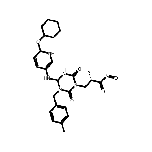 Cc1ccc(CN2C(=O)N(C[C@H](C)C(=O)N=O)C(=O)NC2NC2=CNC(OC3CCCCC3)C=C2)cc1